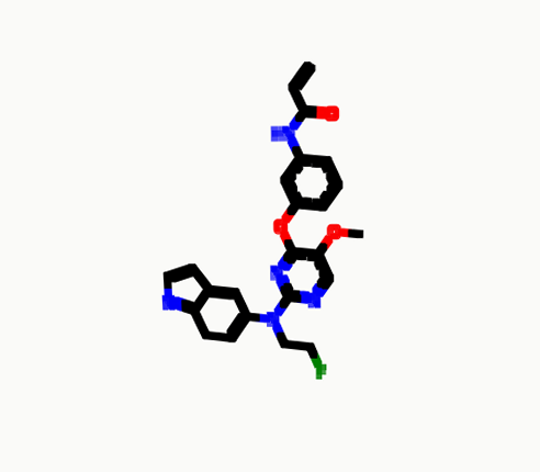 C=CC(=O)Nc1cccc(Oc2nc(N(CCF)C3=CCC4=NC=CC4=C3)ncc2OC)c1